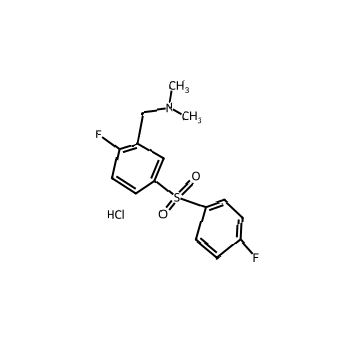 CN(C)Cc1cc(S(=O)(=O)c2ccc(F)cc2)ccc1F.Cl